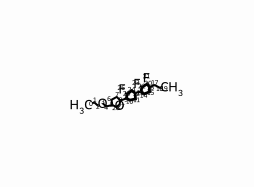 CCCOCC1CCC(c2ccc(-c3ccc(CCC)c(F)c3F)cc2F)OC1